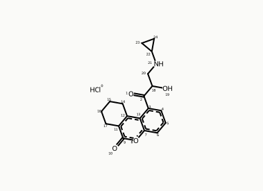 Cl.O=C(c1cccc2oc(=O)c3c(c12)CCCC3)C(O)CNC1CC1